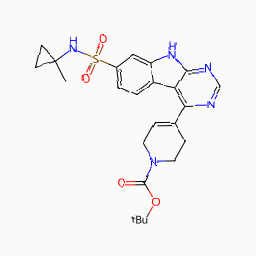 CC1(NS(=O)(=O)c2ccc3c(c2)[nH]c2ncnc(C4=CCN(C(=O)OC(C)(C)C)CC4)c23)CC1